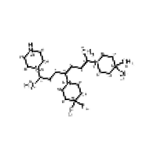 CC(CCC(CCC(C)N1CCC(C)(O)CC1)N1CCC(F)(F)CC1)N1CCNCC1